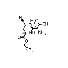 CCOC(=O)[C@@H](CCC#N)NC(=O)[C@@H](N)C(C)C